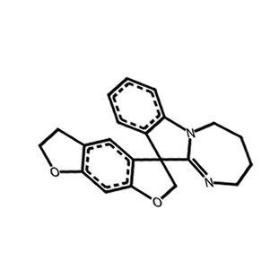 c1ccc2c(c1)N1CCCCN=C1C21COc2cc3c(cc21)CCO3